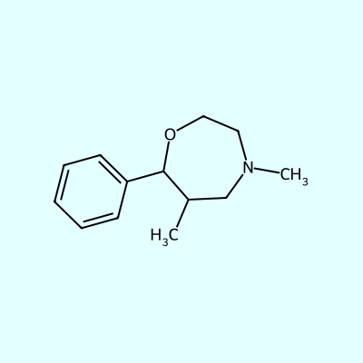 CC1CN(C)CCOC1c1ccccc1